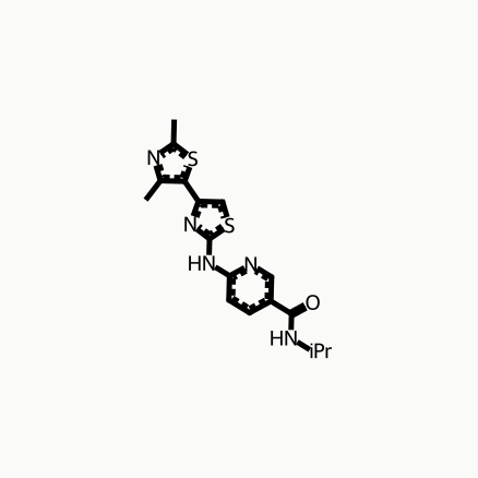 Cc1nc(C)c(-c2csc(Nc3ccc(C(=O)NC(C)C)cn3)n2)s1